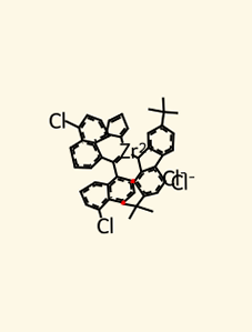 CC(C)(C)c1ccc2c(c1)[CH]([Zr+2]([C]1=CC=CC1)=[C](c1cccc3c(Cl)cccc13)c1cccc3c(Cl)cccc13)c1cc(C(C)(C)C)ccc1-2.[Cl-].[Cl-]